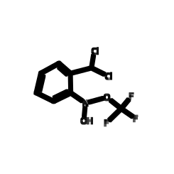 ON(OC(F)(F)F)c1ccccc1C(Cl)Cl